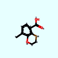 Cc1ccc(C(=O)O)c2c1OCCS2